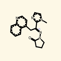 Cn1ccnc1/C(Cc1ccnc2ccccc12)=N/N1CCCC1=O